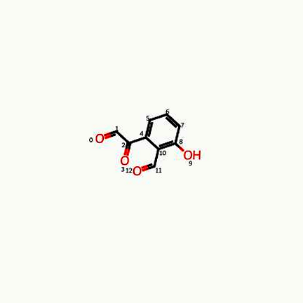 O=CC(=O)c1cccc(O)c1C=O